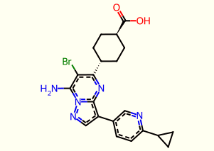 Nc1c(Br)c([C@H]2CC[C@H](C(=O)O)CC2)nc2c(-c3ccc(C4CC4)nc3)cnn12